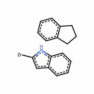 [Zr][c]1cc2ccccc2[nH]1.c1ccc2c(c1)CCC2